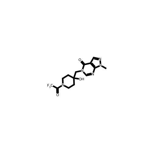 Cn1ncc2c(=O)n(CC3(O)CCN(C(=O)C(F)(F)F)CC3)cnc21